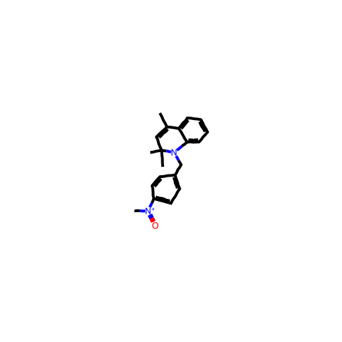 CC1=CC(C)(C)N(Cc2ccc([N+](C)=O)cc2)c2ccccc21